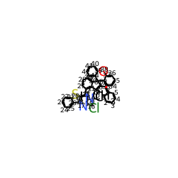 C=c1cccc/c1=C/C1=C(C)c2c(-c3nc(Cl)nc4c3sc3ccccc34)cccc2C12c1ccccc1Oc1ccccc12